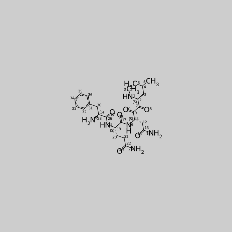 CN[C@@H](CC(C)C)C(=O)C(=O)[C@H](CC(N)=O)NC(=O)[C@H](CCC(N)=O)NC(=O)[C@@H](N)Cc1ccccc1